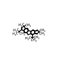 CC1(C)C=c2cc3c(c(C(C)(C)C)c2=C1)Cc1cc2c(cc1-3)C(C)(C)C=C2C(C)(C)C